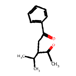 CC(=O)C(CC(=O)c1ccccc1)C(C)C